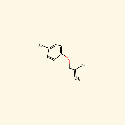 C=C(C)COc1ccc(C(C)=O)cc1